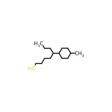 CCCC(CCCCS)C1CCC(C)CC1